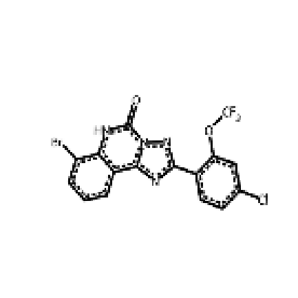 O=c1[nH]c2c(Br)cccc2c2nc(-c3ccc(Cl)cc3OC(F)(F)F)nn12